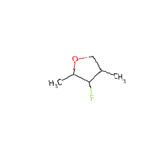 CC1COC(C)C1F